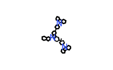 CC1(C2=Cc3c(n(-c4ccc5ccccc5c4)c4ccc(-c5ccc(-n6c7ccccc7c7ccccc76)cc5)cc34)CC2)C=CC(n2c3ccccc3c3ccccc32)=CC1